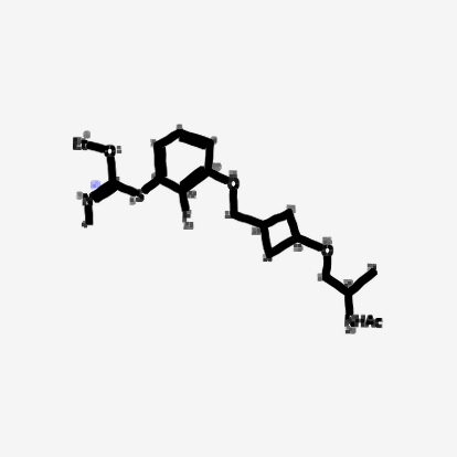 CCO/C(=N/C)Sc1cccc(OCC2CC(OCC(C)NC(C)=O)C2)c1F